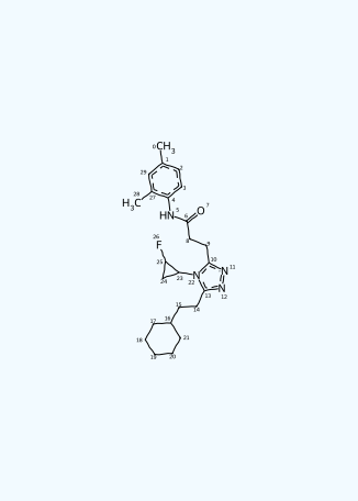 Cc1ccc(NC(=O)CCc2nnc(CCC3CCCCC3)n2C2CC2F)c(C)c1